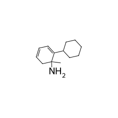 CC1(N)CC=CC=C1C1CCCCC1